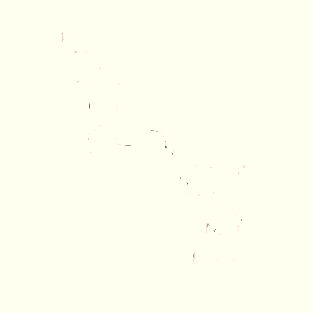 C[C@]1(c2ccc(Cl)cc2F)Oc2cccc(C3CCN(Cc4ncc(-c5noc(C(F)(F)F)n5)cc4CS(C)(=O)=O)CC3)c2O1